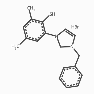 Br.Cc1cc(C)c(S)c(N2C=CN(Cc3ccccc3)C2)c1